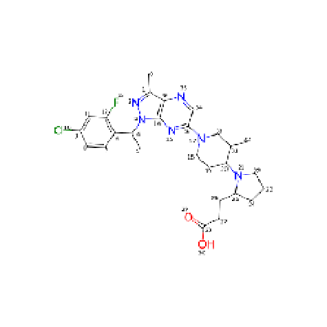 Cc1nn(C(C)c2ccc(Cl)cc2F)c2nc(N3CCC(N4CCCC4CCC(=O)O)C(C)C3)cnc12